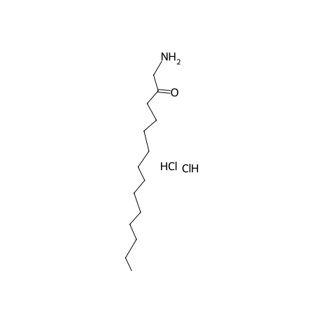 CCCCCCCCCCCCC(=O)CN.Cl.Cl